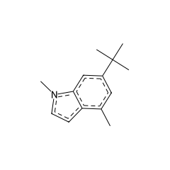 Cc1cc(C(C)(C)C)cc2c1ccn2C